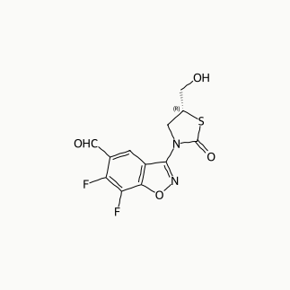 O=Cc1cc2c(N3C[C@H](CO)SC3=O)noc2c(F)c1F